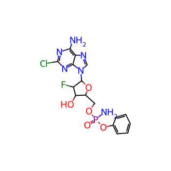 Nc1nc(Cl)nc2c1ncn2C1OC(COP(N)(=O)Oc2ccccc2)C(O)C1F